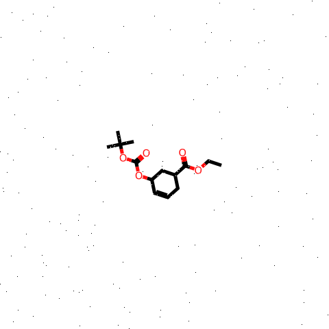 CCOC(=O)C1CC=CC(OC(=O)OC(C)(C)C)C1